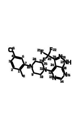 Cc1ccc(Cl)cc1N1CCN(c2ncnc3[nH]nc(C(F)(F)F)c23)CC1